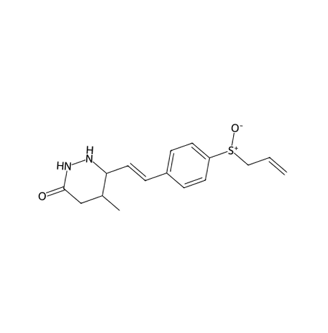 C=CC[S+]([O-])c1ccc(/C=C/C2NNC(=O)CC2C)cc1